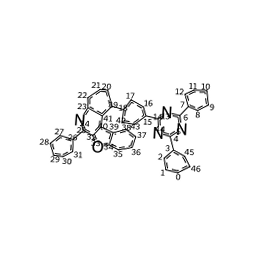 c1ccc(-c2nc(-c3ccccc3)nc(-c3ccc(-c4cccc5nc(-c6ccccc6)c6oc7ccccc7c6c45)cc3)n2)cc1